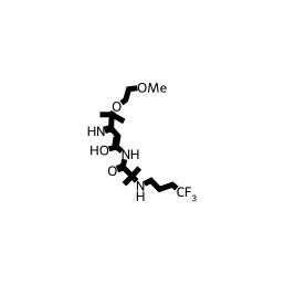 COCCOC(C)(C)C(=N)/C=C(\O)NC(=O)C(C)(C)NCCCC(F)(F)F